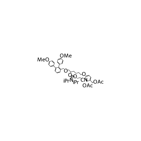 COc1ccc(-c2cccc(COCC(CCCCOc3ccc(C(OC(C)=O)OC(C)=O)cc3)OP(OCCC#N)N(C(C)C)C(C)C)c2-c2ccc(OC)cc2)cc1